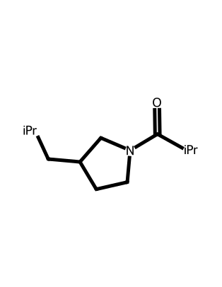 CC(C)CC1CCN(C(=O)C(C)C)C1